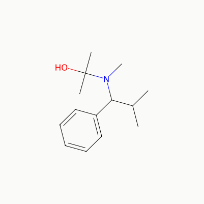 CC(C)C(c1ccccc1)N(C)C(C)(C)O